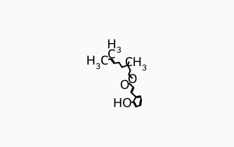 CC(C)=CCCC(C)CCOC(=O)/C=C/c1ccccc1O